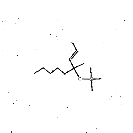 CCCCCC(C)(C=CI)O[Si](C)(C)C